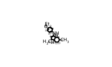 CCOc1ccc(NC2=CC(C)[C@@H]3CC[C@@H](C)C[C@@H]23)cc1